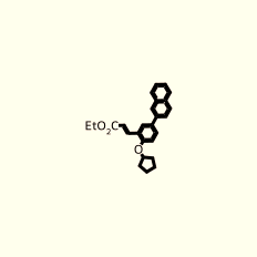 CCOC(=O)C=Cc1cc(-c2ccc3ccccc3c2)ccc1OC1CCCC1